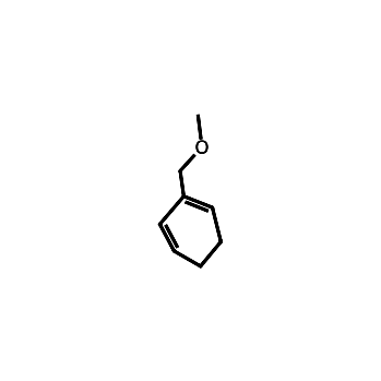 COCC1=CCCC=C1